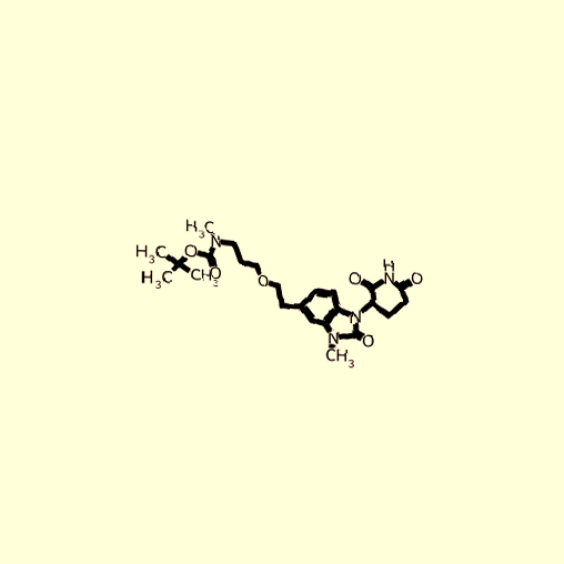 CN(CCCOCCc1ccc2c(c1)n(C)c(=O)n2C1CCC(=O)NC1=O)C(=O)OC(C)(C)C